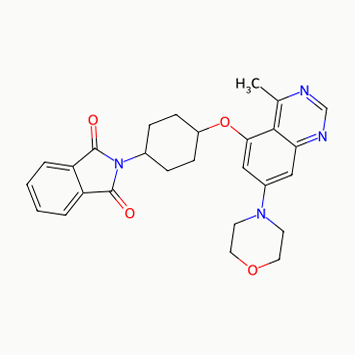 Cc1ncnc2cc(N3CCOCC3)cc(OC3CCC(N4C(=O)c5ccccc5C4=O)CC3)c12